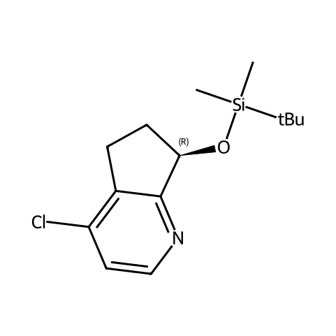 CC(C)(C)[Si](C)(C)O[C@@H]1CCc2c(Cl)ccnc21